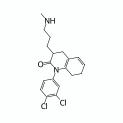 CNCCCC1CC2=C(CCC=C2)N(c2ccc(Cl)c(Cl)c2)C1=O